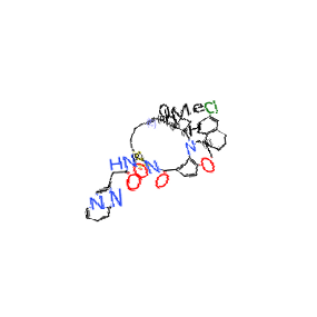 CO[C@H]1/C=C/CCC[S@@](=O)(NC(=O)Cc2cn3ccccc3n2)=NC(=O)c2ccc3c(c2)N(C[C@@H]2CC[C@H]21)C[C@@]1(CCCc2cc(Cl)ccc21)CO3